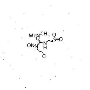 CNC.O=NN(CCCl)C(=O)NCC=S(=O)=O